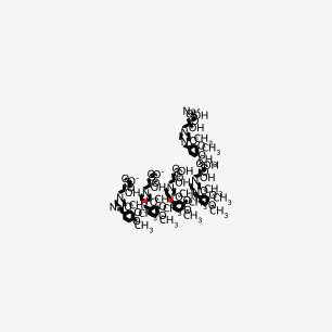 COc1ccc(CN2CCN(CC(O)CS(=O)(=O)O)CC2)c(OC)c1OC.COc1ccc(CN2CCN(CC(O)CS(=O)(=O)O)CC2)c(OC)c1OC.COc1ccc(CN2CCN(CC(O)CS(=O)(=O)O)CC2)c(OC)c1OC.COc1ccc(CN2CCN(CC(O)CS(=O)(=O)[O-])CC2)c(OC)c1OC.COc1ccc(CN2CCN(CC(O)CS(=O)(=O)[O-])CC2)c(OC)c1OC.[Na+].[Na+]